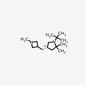 CN1CC(C[C@@H]2CN(C(C)(C)C)C(C)(C)C2)C1